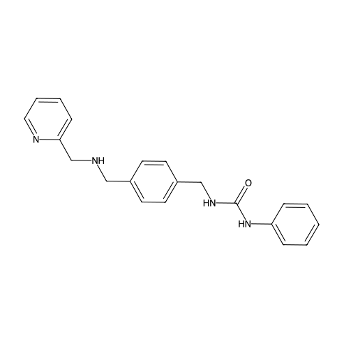 O=C(NCc1ccc(CNCc2ccccn2)cc1)Nc1ccccc1